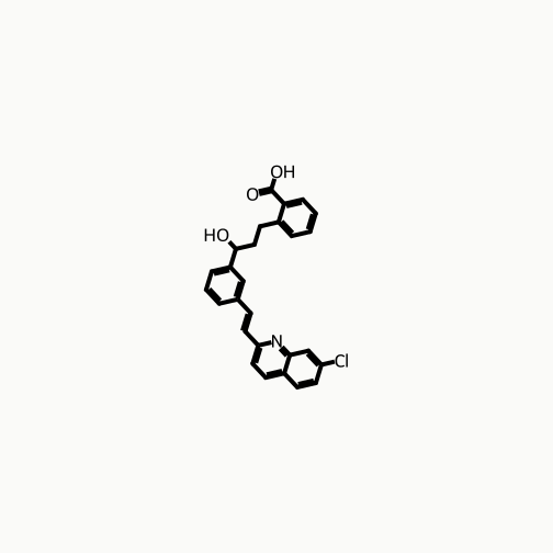 O=C(O)c1ccccc1CCC(O)c1cccc(C=Cc2ccc3ccc(Cl)cc3n2)c1